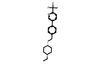 CC[C@H]1CC[C@H](CCc2ccc(-c3ccc(C(F)(F)F)nc3)cc2)CC1